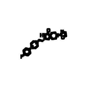 O=C1N[C@@H](CCN2CCN(c3ccc(F)cc3)CC2)CC12CCN(c1ncco1)CC2